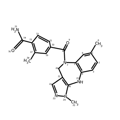 Cc1ccc2c(c1)N(C(=O)c1ccc(C(N)=O)c(C)c1)Cc1cnn(C)c1N2